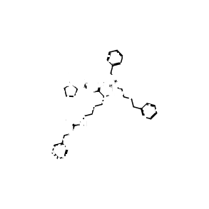 O=C(NCCCCC(OP(=O)(CCCCc1ccccc1)OCc1ccccc1)C(=O)OC(=O)[C@@H]1CCCN1)OCc1ccccc1